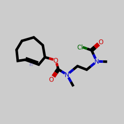 CN(CCN(C)C(=O)OC1/C=C/CCCCC1)C(=O)Cl